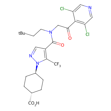 CC(C)(C)CCN(CC(=O)c1c(Cl)cncc1Cl)C(=O)c1cnn([C@H]2CC[C@H](C(=O)O)CC2)c1C(F)(F)F